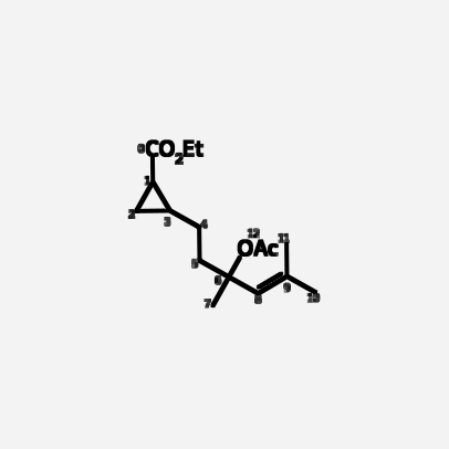 CCOC(=O)C1CC1CCC(C)(C=C(C)C)OC(C)=O